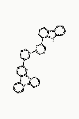 c1cc(-c2cccc(-c3cccc4c3[nH]c3ccccc34)c2)cc(-c2ccc3c4ccccc4c4ccccc4c3c2)c1